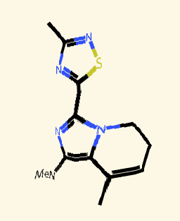 CNc1nc(-c2nc(C)ns2)n2c1C(C)=CCC2